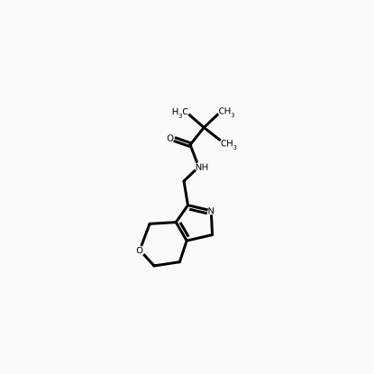 CC(C)(C)C(=O)NCC1=NCC2=C1COCC2